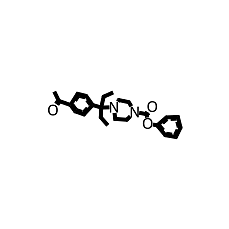 CCC(CC)(c1ccc(C(C)=O)cc1)N1CCN(C(=O)Oc2ccccc2)CC1